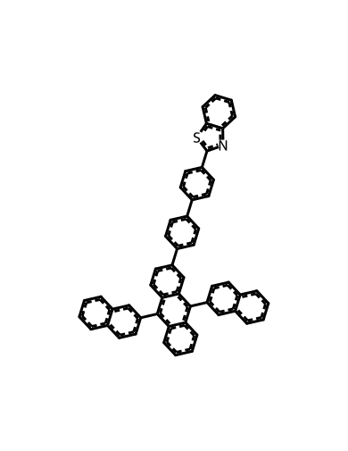 c1ccc2cc(-c3c4ccccc4c(-c4ccc5ccccc5c4)c4cc(-c5ccc(-c6ccc(-c7nc8ccccc8s7)cc6)cc5)ccc34)ccc2c1